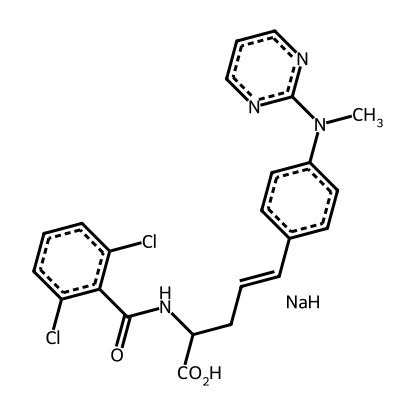 CN(c1ccc(C=CCC(NC(=O)c2c(Cl)cccc2Cl)C(=O)O)cc1)c1ncccn1.[NaH]